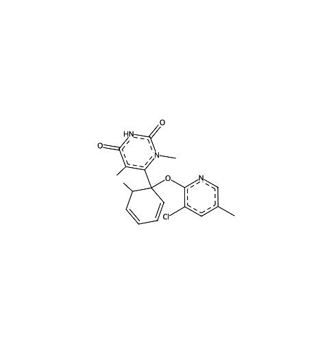 Cc1cnc(OC2(c3c(C)c(=O)[nH]c(=O)n3C)C=CC=CC2C)c(Cl)c1